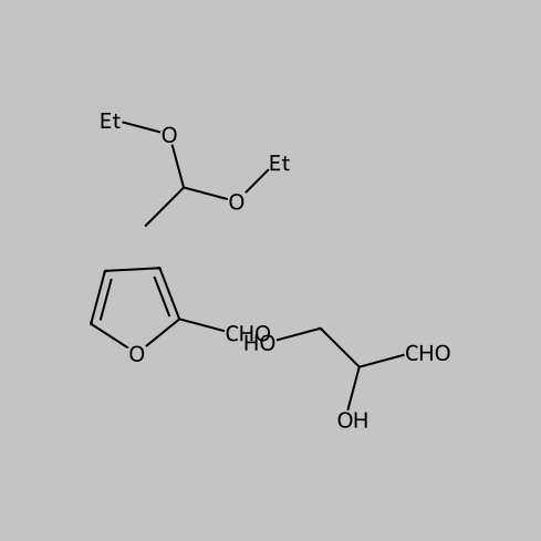 CCOC(C)OCC.O=CC(O)CO.O=Cc1ccco1